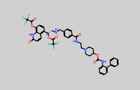 O=C(Nc1ccccc1-c1ccccc1)OC1CCN(CCNC(=O)c2ccc(CNC[C@H](OC(=O)C(F)(F)F)c3ccc(OC(=O)C(F)(F)F)c4[nH]c(=O)ccc34)cc2)CC1